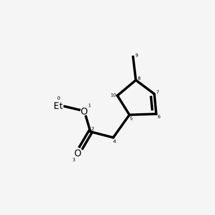 CCOC(=O)CC1C=CC(C)C1